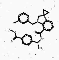 COC(=O)c1ccc([C@H](C)NC(=O)c2cccc3c2N(Cc2cccc(F)c2)CC32CC2)cc1